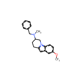 CN(Cc1ccccc1)C1CCc2cc3cc(OC(F)(F)F)ccc3n2C1